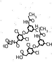 CCC(=O)Nc1cc(C)cc(COc2c(Cl)cc(C(=O)NCC(=O)O)cc2Cl)c1.CCC(=O)Nc1cc(C)cc(COc2c(Cl)cc(CC(=O)O)cc2Cl)c1